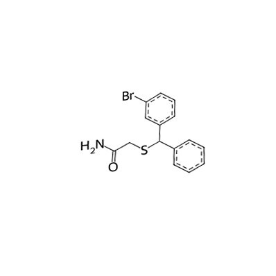 NC(=O)CSC(c1ccccc1)c1cccc(Br)c1